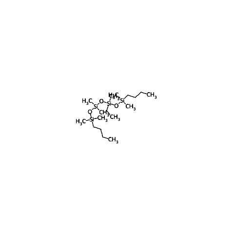 CCCC[Si](C)(C)O[Si](C)(C)O[Si](C)(CC)O[Si](C)(C)CCCC